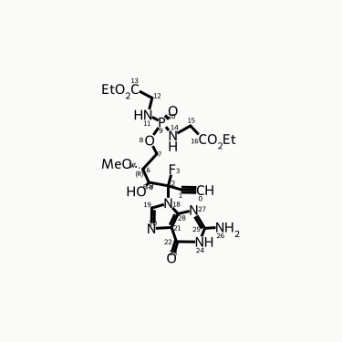 C#CC(F)([C@@H](O)[C@@H](COP(=O)(NCC(=O)OCC)NCC(=O)OCC)OC)n1cnc2c(=O)[nH]c(N)nc21